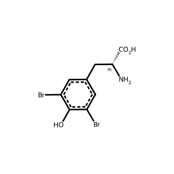 N[C@H](Cc1cc(Br)c(O)c(Br)c1)C(=O)O